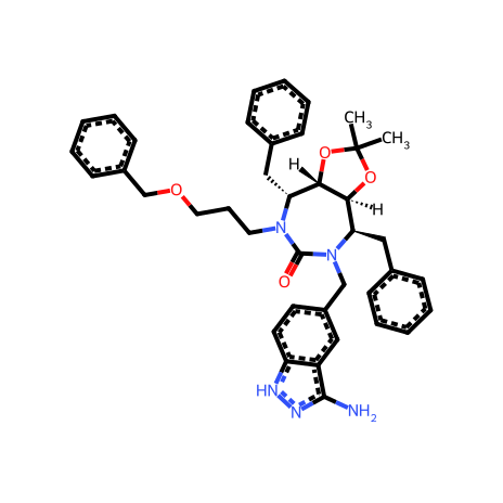 CC1(C)O[C@@H]2[C@@H](O1)[C@@H](Cc1ccccc1)N(Cc1ccc3[nH]nc(N)c3c1)C(=O)N(CCCOCc1ccccc1)[C@@H]2Cc1ccccc1